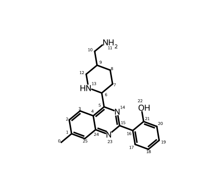 Cc1ccc2c(C3CCC(CN)CN3)nc(-c3ccccc3O)nc2c1